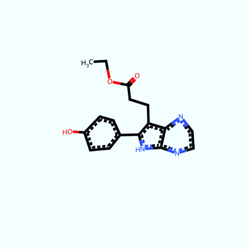 CCOC(=O)CCc1c(-c2ccc(O)cc2)[nH]c2nccnc12